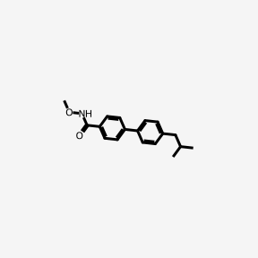 CONC(=O)c1ccc(-c2ccc(CC(C)C)cc2)cc1